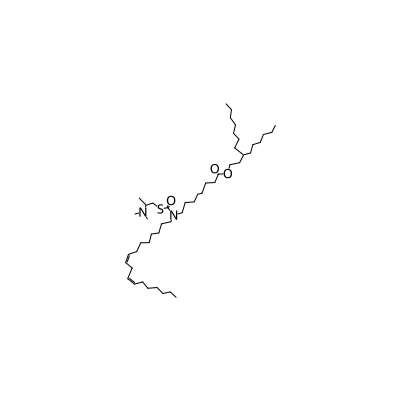 CCCCCC/C=C\C/C=C\CCCCCCCN(CCCCCCCC(=O)OCCC(CCCCCC)CCCCCCC)C(=O)SCC(C)N(C)C